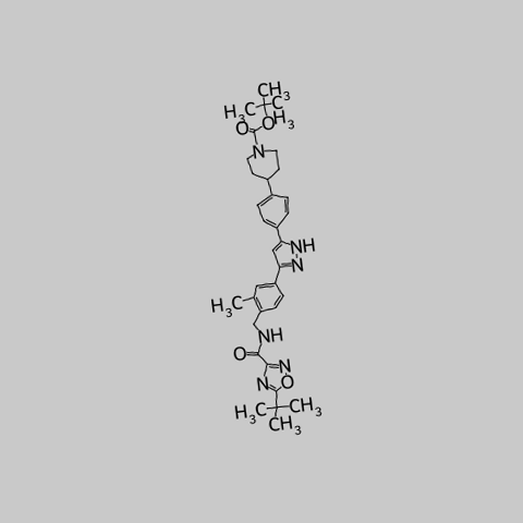 Cc1cc(-c2cc(-c3ccc(C4CCN(C(=O)OC(C)(C)C)CC4)cc3)[nH]n2)ccc1CNC(=O)c1noc(C(C)(C)C)n1